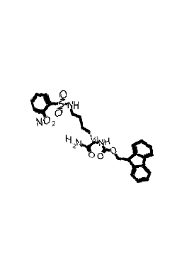 NC(=O)[C@H](CCCCNS(=O)(=O)c1ccccc1[N+](=O)[O-])NC(=O)OCC1c2ccccc2-c2ccccc21